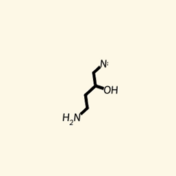 [N]CC(O)CCN